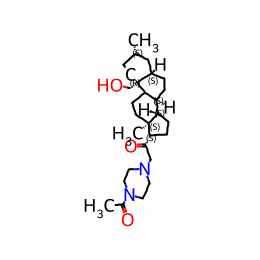 CC(=O)N1CCN(CC(=O)[C@H]2CC[C@H]3[C@@H]4CC[C@H]5C[C@@H](C)CC[C@]5(CO)C4CC[C@]23C)CC1